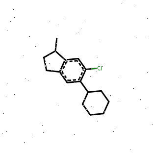 CC1CCc2cc(C3CCCCC3)c(Cl)cc21